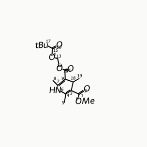 COC(=O)C1=C(C)NC(C)=C(C(=O)OCOC(=O)C(C)(C)C)C1C